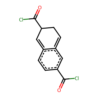 O=C(Cl)c1ccc2c(c1)=CCC(C(=O)Cl)C=2